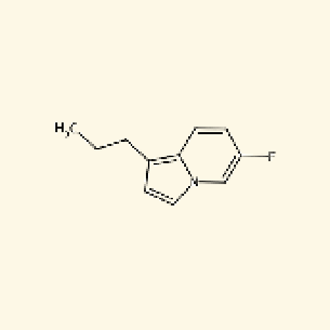 CCCc1ccn2cc(F)ccc12